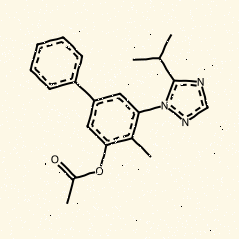 CC(=O)Oc1cc(-c2ccccc2)cc(-n2ncnc2C(C)C)c1C